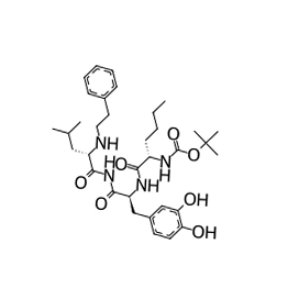 CCCC[C@H](NC(=O)OC(C)(C)C)C(=O)N[C@@H](Cc1ccc(O)c(O)c1)C(=O)NC(=O)[C@H](CC(C)C)NCCc1ccccc1